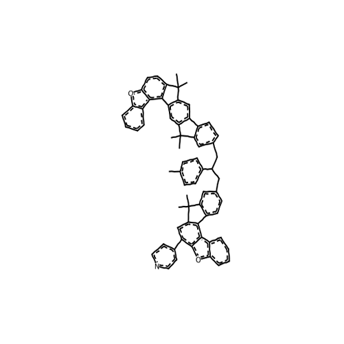 Cc1ccc(C(Cc2ccc3c(c2)C(C)(C)c2cc4c(cc2-3)C(C)(C)c2ccc3oc5ccccc5c3c2-4)Cc2ccc3c(c2)C(C)(C)c2cc(-c4ccncc4)c4oc5ccccc5c4c2-3)cc1